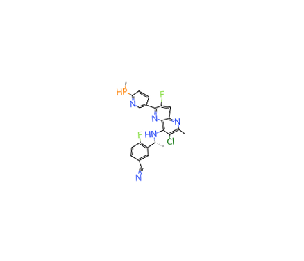 CPc1ccc(-c2nc3c(N[C@H](C)c4cc(C#N)ccc4F)c(Cl)c(C)nc3cc2F)cn1